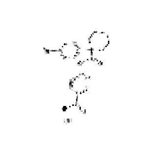 O=C(NO)c1ccc(OC(=O)C2(c3ccc(Br)cc3)CCCCC2)cc1